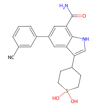 N#Cc1cccc(-c2cc(C(N)=O)c3[nH]cc(C4CCS(O)(O)CC4)c3c2)c1